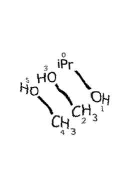 CC(C)O.CO.CO